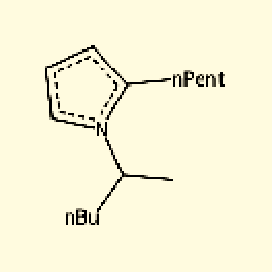 CCCCCc1cccn1C(C)CCCC